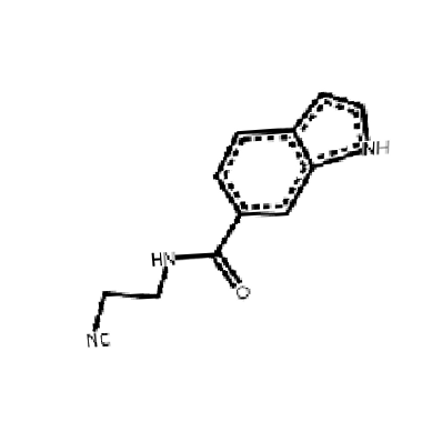 [C-]#[N+]CCNC(=O)c1ccc2cc[nH]c2c1